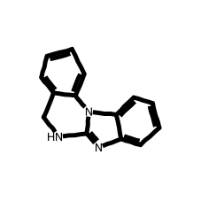 c1ccc2c(c1)CNc1nc3ccccc3n1-2